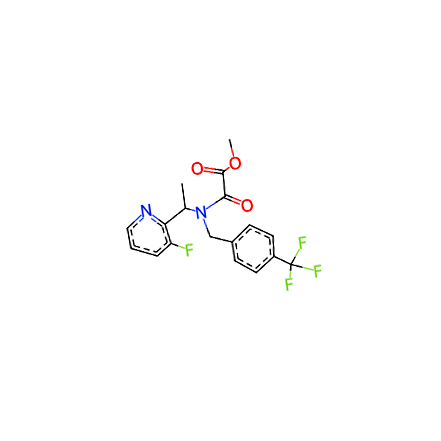 COC(=O)C(=O)N(Cc1ccc(C(F)(F)F)cc1)C(C)c1ncccc1F